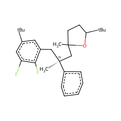 CC1(C[C@](C)(Cc2cc(C(C)(C)C)cc(F)c2F)c2ccccc2)CCC(C(C)(C)C)O1